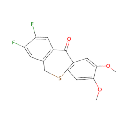 COc1cc2c(cc1OC)C(=O)c1cc(F)c(F)cc1CS2